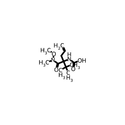 C=CCC(NC(=O)O)(C(=O)N(C)OC)C(C)(C)C